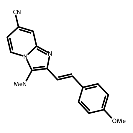 CNc1c(/C=C/c2ccc(OC)cc2)nc2cc(C#N)ccn12